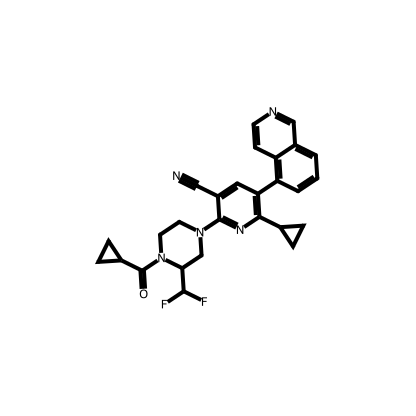 N#Cc1cc(-c2cccc3cnccc23)c(C2CC2)nc1N1CCN(C(=O)C2CC2)C(C(F)F)C1